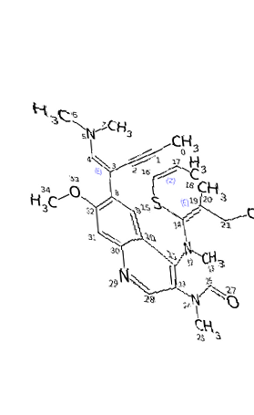 CC#C/C(=C\N(C)C)c1cc2c(N(C)/C(S/C=C\C)=C(/C)CC)c(N(C)C=O)cnc2cc1OC